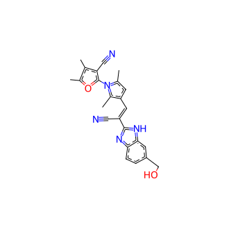 Cc1oc(-n2c(C)cc(C=C(C#N)c3nc4ccc(CO)cc4[nH]3)c2C)c(C#N)c1C